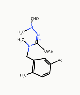 CO/C(=N/N(C)C=O)N(C)Cc1cc(C(C)=O)ccc1C